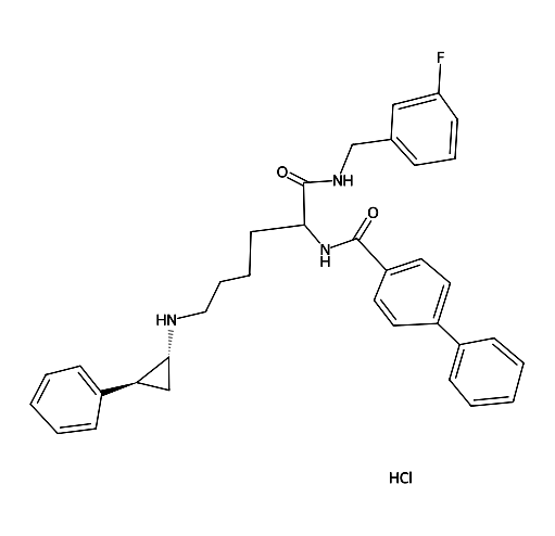 Cl.O=C(NC(CCCCN[C@@H]1C[C@H]1c1ccccc1)C(=O)NCc1cccc(F)c1)c1ccc(-c2ccccc2)cc1